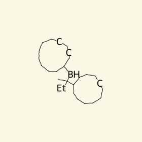 CCC(C)(BC1CCCCCCCCCCC1)C1CCCCCCCCCC1